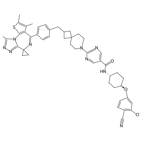 Cc1sc2c(c1C)C(c1ccc(CC3CC4(CCN(c5ncc(C(=O)N[C@H]6CC[C@H](Oc7ccc(C#N)c(Cl)c7)CC6)cn5)CC4)C3)cc1)=NC1(CC1)c1nnc(C)n1-2